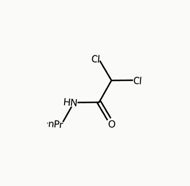 CC[CH]NC(=O)C(Cl)Cl